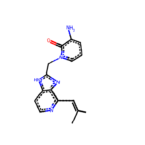 CC(C)=Cc1nccc2[nH]c(Cn3cccc(N)c3=O)nc12